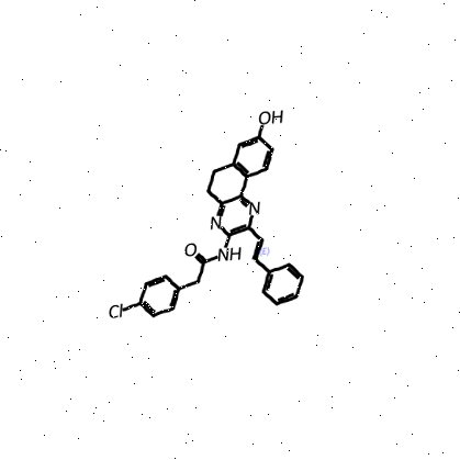 O=C(Cc1ccc(Cl)cc1)Nc1nc2c(nc1/C=C/c1ccccc1)-c1ccc(O)cc1CC2